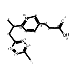 CC(Cc1nnc(I)nn1)c1ccc(CCC(=O)O)cn1